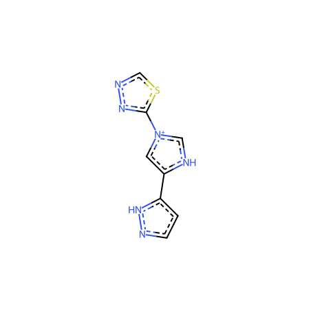 c1cc(-c2c[n+](-c3nncs3)c[nH]2)[nH]n1